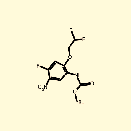 CCCCOC(=O)Nc1cc([N+](=O)[O-])c(F)cc1OCC(F)F